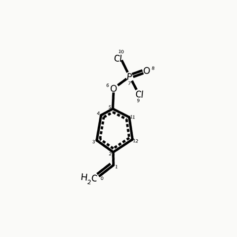 C=Cc1ccc(OP(=O)(Cl)Cl)cc1